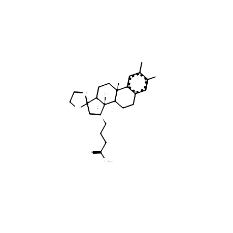 Cc1cc2c(cc1O)CC[C@H]1[C@@H]3[C@@H](CCCC(=O)O)CC4(OCCO4)[C@@]3(C)CC[C@H]21